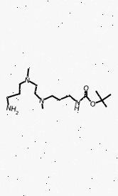 CN(CCCN)CCN(C)CCCNC(=O)OC(C)(C)C